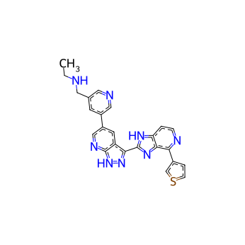 CCNCc1cncc(-c2cnc3[nH]nc(-c4nc5c(-c6ccsc6)nccc5[nH]4)c3c2)c1